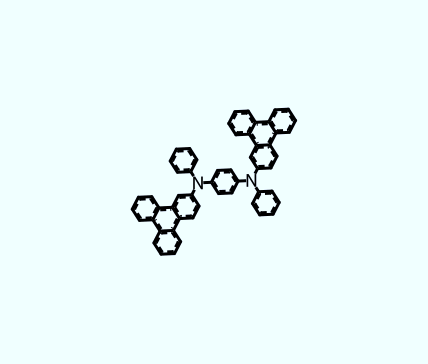 c1ccc(N(c2ccc(N(c3ccccc3)c3ccc4c5ccccc5c5ccccc5c4c3)cc2)c2ccc3c4ccccc4c4ccccc4c3c2)cc1